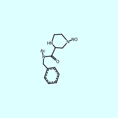 CC(=O)N(Cc1ccccc1)C(=O)C1CN(N=O)CCN1